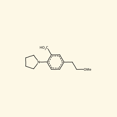 COCCc1ccc(N2CCCC2)c(C(=O)O)c1